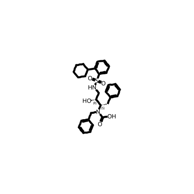 O=C(O)N(Cc1ccccc1)[C@@H](Cc1ccccc1)[C@H](O)CNS(=O)(=O)c1ccccc1C1CCCCC1